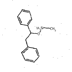 C[SiH2]OC(Cc1ccccc1)c1ccccc1